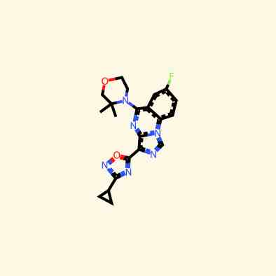 CC1(C)COCCN1c1nc2c(-c3nc(C4CC4)no3)ncn2c2ccc(F)cc12